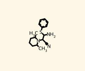 CC1CCCC(C)N1C(C#N)C(N)Sc1ccccc1